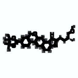 COC[C@H](C)CCc1nc2ccc3cc4c(cc3c2[nH]1)OCc1cc(B2OC(C)(C)C(C)(C)O2)ccc1-4